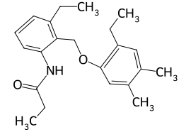 CCC(=O)Nc1cccc(CC)c1COc1cc(C)c(C)cc1CC